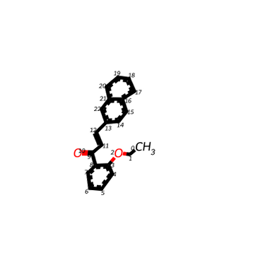 CCOc1ccccc1C(=O)/C=C/c1ccc2ccccc2c1